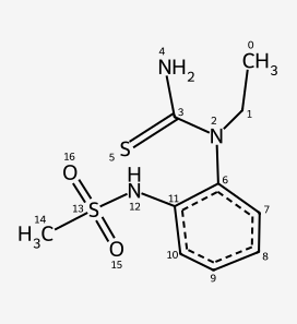 CCN(C(N)=S)c1ccccc1NS(C)(=O)=O